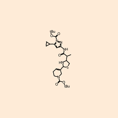 CC(C(=O)Nc1cc(C2CC2)n(C(=O)OC(C)(C)C)n1)C1CSC(C2=CCCN(C(=O)OC(C)(C)C)C2)N1